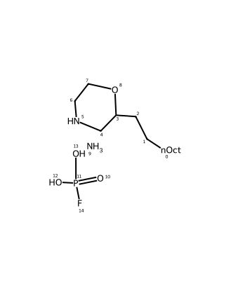 CCCCCCCCCCC1CNCCO1.N.O=P(O)(O)F